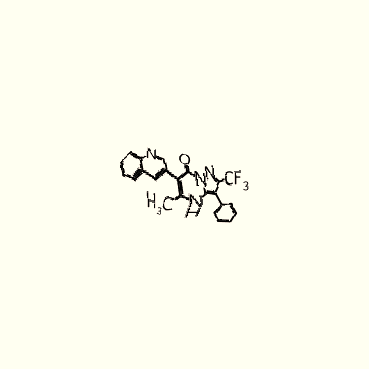 Cc1[nH]c2c(-c3ccccc3)c(C(F)(F)F)nn2c(=O)c1-c1cnc2ccccc2c1